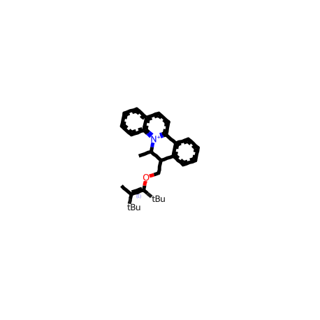 C/C(=C(\OCC1c2ccccc2-c2ccc3ccccc3[n+]2C1C)C(C)(C)C)C(C)(C)C